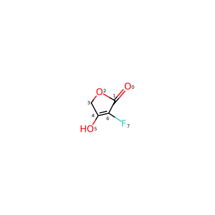 O=C1OCC(O)=C1F